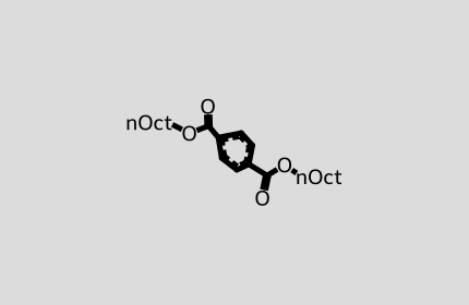 CCCCCCCCOC(=O)c1ccc(C(=O)OCCCCCCCC)cc1